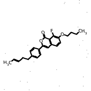 C/C=C/CCc1ccc(-c2cc3ccc(OCCCC)c(F)c3c(=O)o2)cc1